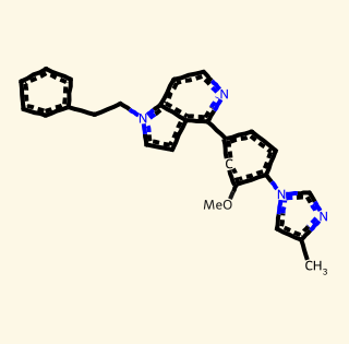 COc1cc(-c2nccc3c2ccn3CCc2ccccc2)ccc1-n1cnc(C)c1